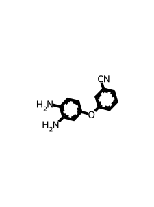 N#Cc1cccc(Oc2ccc(N)c(N)c2)c1